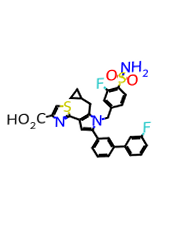 NS(=O)(=O)c1ccc(Cn2c(-c3cccc(-c4cccc(F)c4)c3)cc(-c3nc(C(=O)O)cs3)c2CC2CC2)cc1F